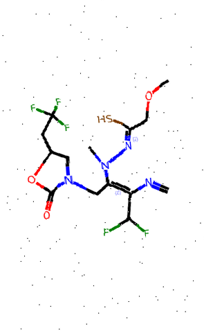 C=N/C(=C(/CN1CC(CC(F)(F)F)OC1=O)N(C)/N=C(\S)COC)C(F)F